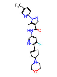 Cc1c(C(=O)Nc2cnc(C3=CCC(N4CCOCC4)CC3)c(F)c2)cnn1-c1ccc(C(F)(F)F)cn1